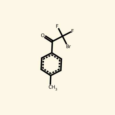 Cc1ccc(C(=O)C(F)(F)Br)cc1